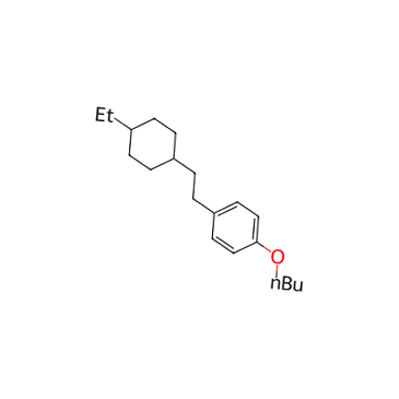 CCCCOc1ccc(CCC2CCC(CC)CC2)cc1